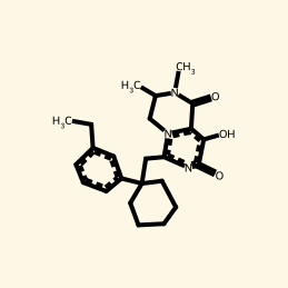 CCc1cccc(C2(Cc3nc(=O)c(O)c4n3CC(C)N(C)C4=O)CCCCC2)c1